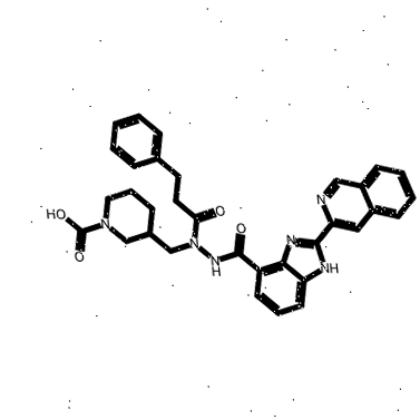 O=C(NN(CC1CCCN(C(=O)O)C1)C(=O)CCc1ccccc1)c1cccc2[nH]c(-c3cc4ccccc4cn3)nc12